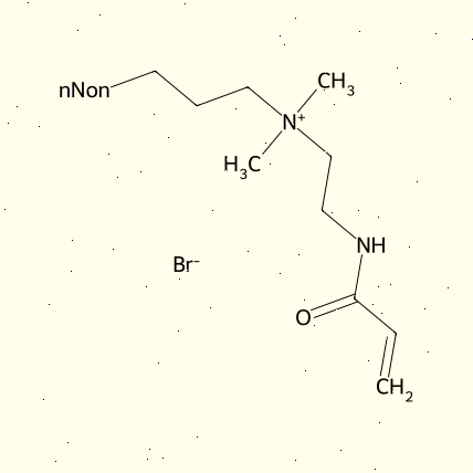 C=CC(=O)NCC[N+](C)(C)CCCCCCCCCCCC.[Br-]